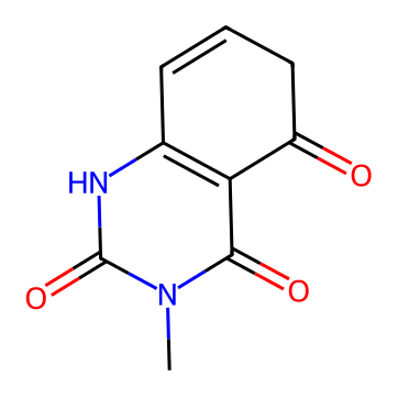 Cn1c(=O)[nH]c2c(c1=O)C(=O)CC=C2